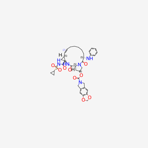 O=C1N[C@]2(C(=O)NS(=O)(=O)C3CC3)C[C@H]2/C=C\CCCCC[C@H](Nc2ccccc2)C(=O)N2C[C@H](OC(=O)N3Cc4cc5c(cc4C3)OCO5)C[C@@H]12